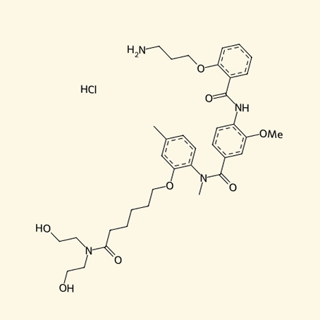 COc1cc(C(=O)N(C)c2ccc(C)cc2OCCCCCC(=O)N(CCO)CCO)ccc1NC(=O)c1ccccc1OCCCN.Cl